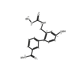 COC(=O)c1cccc(-c2ccc(OC)cc2CNC(=O)OC(C)(C)C)c1